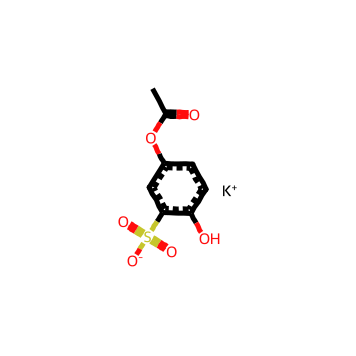 CC(=O)Oc1ccc(O)c(S(=O)(=O)[O-])c1.[K+]